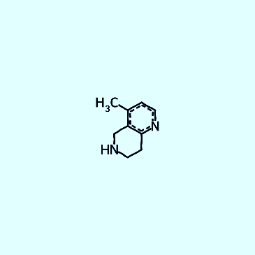 Cc1ccnc2c1CNCC2